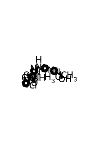 CC(C)(O)CN1CCN(c2ccc(Nc3ncc4c(=O)n(-c5c(Cl)cccc5Cl)c(=O)[nH]c4n3)cc2)CC1